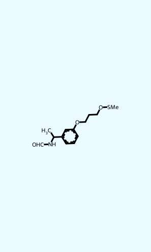 CSOCCCOc1cccc(C(C)NC=O)c1